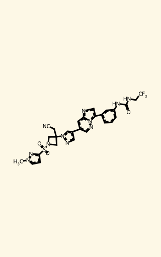 Cn1ccc(S(=O)(=O)N2CC(CC#N)(n3cc(-c4cnn5c(-c6cccc(NC(=O)NCC(F)(F)F)c6)cnc5c4)cn3)C2)n1